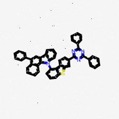 c1ccc(-c2nc(-c3ccccc3)nc(-c3ccc4c(c3)sc3cccc(-n5c6ccccc6c6cc(-c7ccccc7)c7ccccc7c65)c34)n2)cc1